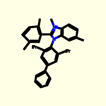 Cc1ccc(C)c(-c2n(-c3c(C(C)C)cc(-c4ccccc4)cc3C(C)C)c3cc(C)ccc3[n+]2C)c1